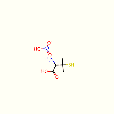 CC(C)(S)[C@H](N)C(=O)O.O=[N+]([O-])O